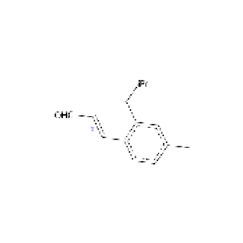 Cc1ccc(/C=C/C=O)c(CC(C)C)c1